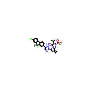 COC(=O)N[C@H](C(=O)N1CC2(CC2)CC1c1ncc(-c2ccc3c(c2)C(F)(F)c2cc(Br)ccc2-3)[nH]1)C(C)C